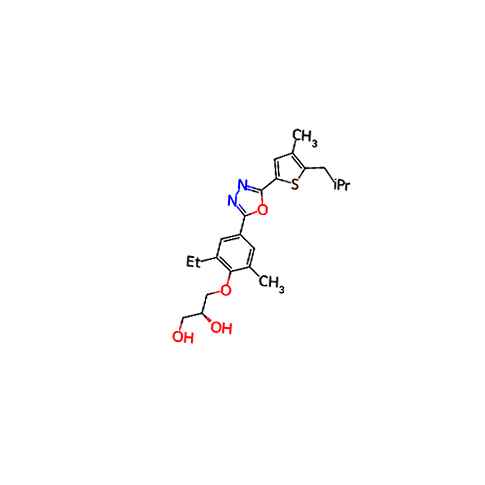 CCc1cc(-c2nnc(-c3cc(C)c(CC(C)C)s3)o2)cc(C)c1OC[C@@H](O)CO